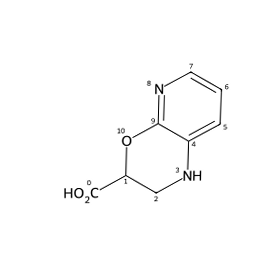 O=C(O)C1CNc2cccnc2O1